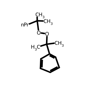 CCCC(C)(C)OOC(C)(C)c1ccccc1